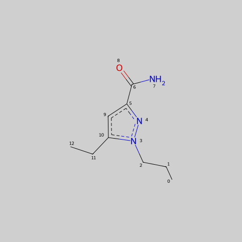 CCCn1nc(C(N)=O)cc1CC